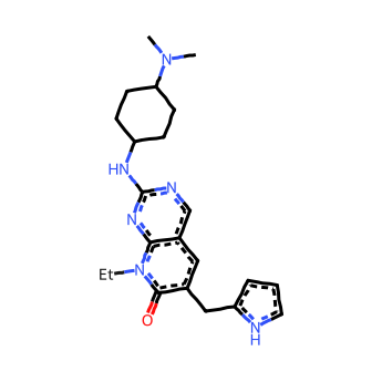 CCn1c(=O)c(Cc2ccc[nH]2)cc2cnc(NC3CCC(N(C)C)CC3)nc21